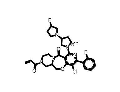 C=CC(=O)N1CCN2C(=O)c3c(N4CC(N5CCC(F)C5)C[C@@H]4C)nc(-c4ccccc4F)c(Cl)c3OCC2C1